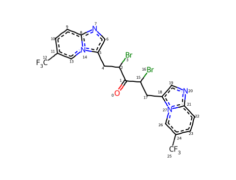 O=C(C(Br)Cc1cnc2ccc(C(F)(F)F)cn12)C(Br)Cc1cnc2ccc(C(F)(F)F)cn12